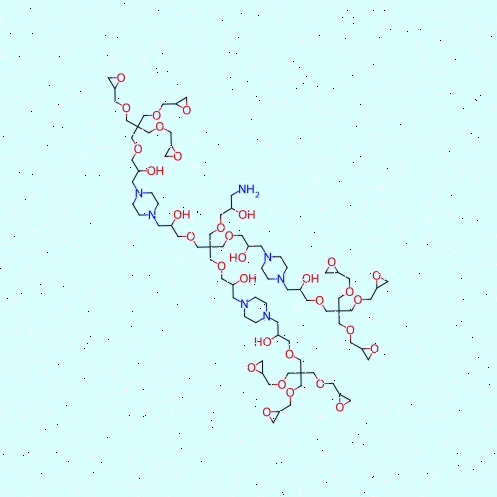 NCC(O)COCC(COCC(O)CN1CCN(CC(O)COCC(COCC2CO2)(COCC2CO2)COCC2CO2)CC1)(COCC(O)CN1CCN(CC(O)COCC(COCC2CO2)(COCC2CO2)COCC2CO2)CC1)COCC(O)CN1CCN(CC(O)COCC(COCC2CO2)(COCC2CO2)COCC2CO2)CC1